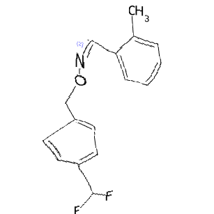 Cc1ccccc1/[C]=N\OCc1ccc(C(F)F)cc1